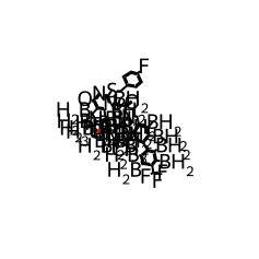 Bc1c(B)c(-c2c(B)c(B)c(C(F)(F)F)c(B)c2B)c(B)c(B)c1CN(C(=O)C(B)(B)n1c(SCc2ccc(F)cc2)nc(=O)c2c1C(B)(B)C(B)(B)C2(B)B)C(B)(B)C(B)(B)N(C(B)(B)C)C(B)(B)C